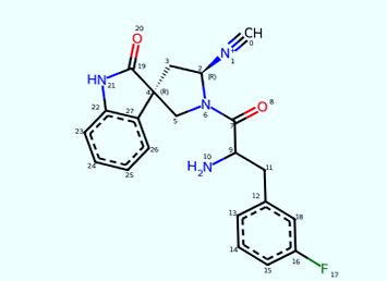 C#[N+][C@@H]1C[C@@]2(CN1C(=O)C(N)Cc1cccc(F)c1)C(=O)Nc1ccccc12